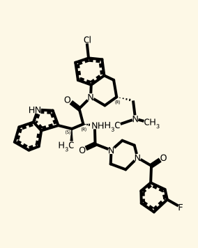 C[C@@H](c1c[nH]c2ccccc12)[C@@H](NC(=O)N1CCN(C(=O)c2cccc(F)c2)CC1)C(=O)N1C[C@@H](CN(C)C)Cc2cc(Cl)ccc21